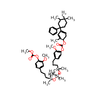 COC(=O)Oc1ccc(CCC[Si](C)(C)O[Si](C)(C)O[Si](C)(C)CCCc2ccc(OC(=O)OC3CC=C(C4(c5ccccc5)CCC(C)(C)C(C)C4)C=C3C)c(OC)c2)cc1OC